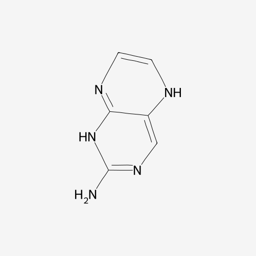 NC1=NC=C2NC=CN=C2N1